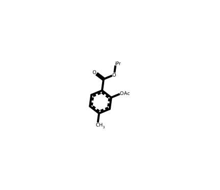 CC(=O)Oc1cc(C)ccc1C(=O)OC(C)C